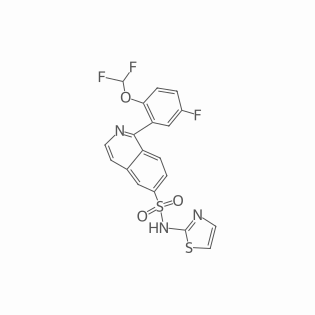 O=S(=O)(Nc1nccs1)c1ccc2c(-c3cc(F)ccc3OC(F)F)nccc2c1